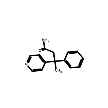 CC(CC(N)=O)(c1ccccc1)c1ccncc1